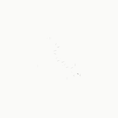 CCCCCCc1cc(-c2sc(-c3cc4sc(/C=C(\C)CC(C#N)C(=O)O)c(C(C)CC)c4s3)cc2CCCCCC)sc1C1=CCC(C)C=C1